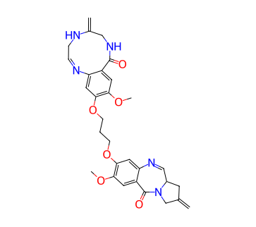 C=C1CC2C=Nc3cc(OCCCOc4cc5c(cc4OC)C(=O)NCC(=C)NC/C=N\5)c(OC)cc3C(=O)N2C1